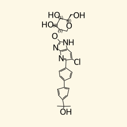 CC(C)(O)c1ccc(-c2ccc(-c3nc4nc(O[C@H]5CO[C@H](CO)[C@@H](O)[C@@H]5O)[nH]c4cc3Cl)cc2)cc1